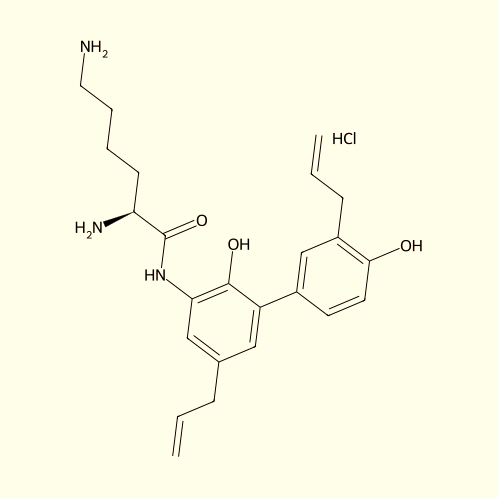 C=CCc1cc(NC(=O)[C@@H](N)CCCCN)c(O)c(-c2ccc(O)c(CC=C)c2)c1.Cl